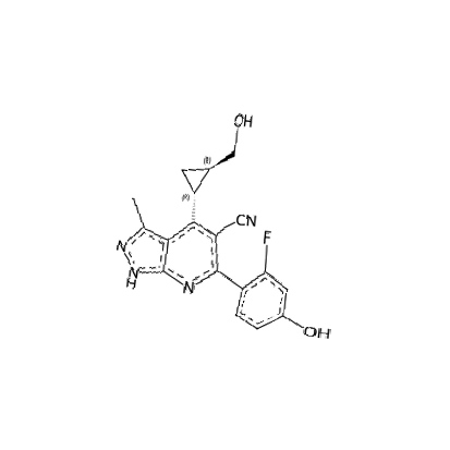 Cc1n[nH]c2nc(-c3ccc(O)cc3F)c(C#N)c([C@@H]3C[C@H]3CO)c12